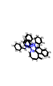 C=C1/C=C\C=C/N([C@H](N)N(CC2=CCCCC2)Cc2ccccc2)c2c1c1ccccc1c1c3c(n(-c4ccccc4)c21)CCC=C3